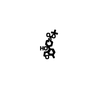 Cc1ccc(C2(O)CCN(C(=O)OC(C)(C)C)CC2)c2c1OCC2